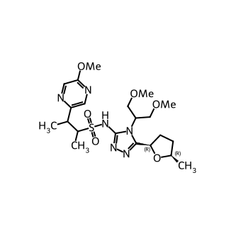 COCC(COC)n1c(NS(=O)(=O)C(C)C(C)c2cnc(OC)cn2)nnc1[C@H]1CC[C@@H](C)O1